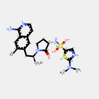 CCOC(=O)[C@@H](Cc1cc2ccnc(N)c2cc1CC)N1CC[C@H](NS(=O)(=O)c2cnc(N(C)C)s2)C1=O